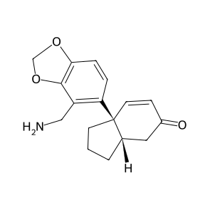 NCc1c([C@@]23C=CC(=O)C[C@@H]2CCC3)ccc2c1OCO2